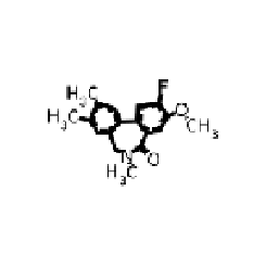 COc1cc2c(cc1F)-c1cc(C)c(C)cc1CN(C)C2=O